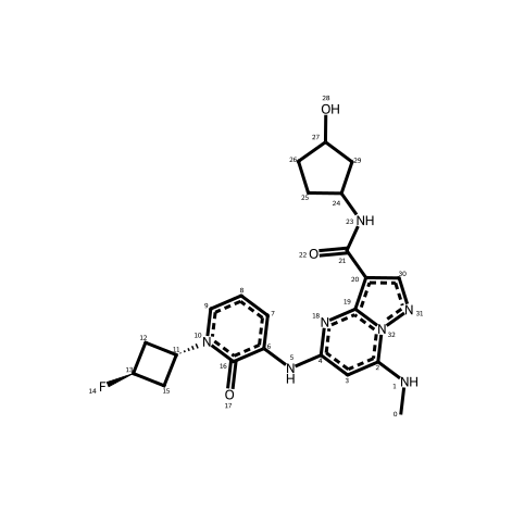 CNc1cc(Nc2cccn([C@H]3C[C@H](F)C3)c2=O)nc2c(C(=O)NC3CCC(O)C3)cnn12